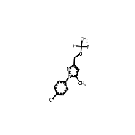 Cc1cc(COC(C)(F)F)nn1-c1ccc(Cl)cc1